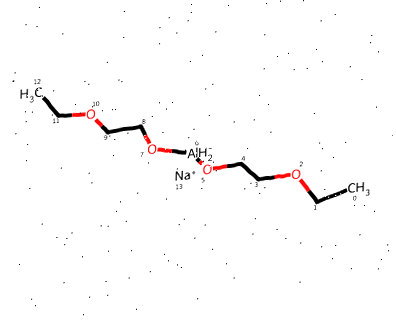 CCOCC[O][AlH2-][O]CCOCC.[Na+]